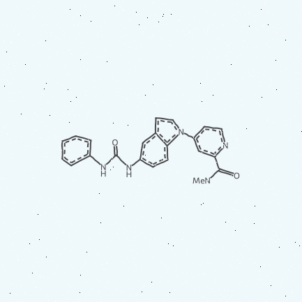 CNC(=O)c1cc(-n2ccc3cc(NC(=O)Nc4ccccc4)ccc32)ccn1